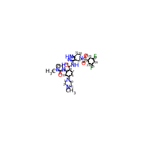 CN1CCN(c2ccc(C(=O)Nc3n[nH]c4c3CN(S(=O)(=O)c3cc(F)cc(F)c3)CC4)c(NC(=O)N(C)C)c2)CC1